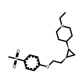 CCN1CCC([C@H]2C[C@H]2CCOc2ccc(S(C)(=O)=O)cc2)CC1